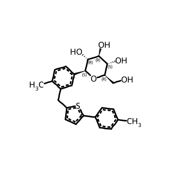 Cc1ccc(-c2ccc(Cc3cc([C@@H]4O[C@H](CO)[C@@H](O)[C@H](O)[C@H]4O)ccc3C)s2)cc1